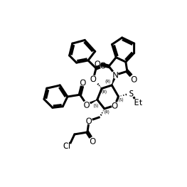 CCS[C@@H]1O[C@H](COC(=O)CCl)[C@@H](OC(=O)c2ccccc2)[C@H](OC(=O)c2ccccc2)[C@H]1N1C(=O)c2ccccc2C1=O